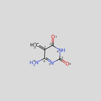 C=C1C(=O)NC(=O)N=C1N